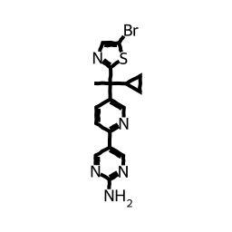 CC(c1ccc(-c2cnc(N)nc2)nc1)(c1ncc(Br)s1)C1CC1